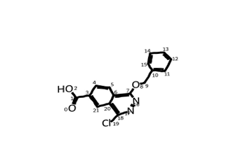 O=C(O)c1ccc2c(OCc3ccccc3)nnc(Cl)c2c1